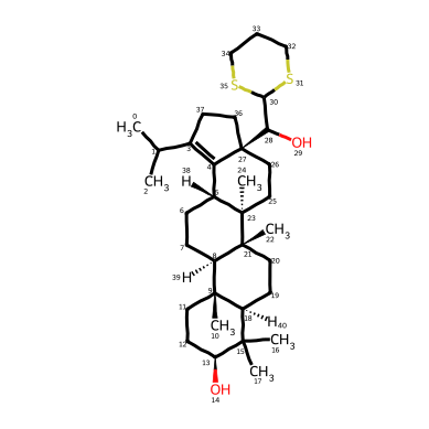 CC(C)C1=C2[C@H]3CC[C@@H]4[C@@]5(C)CC[C@H](O)C(C)(C)[C@@H]5CC[C@@]4(C)[C@]3(C)CC[C@@]2(C(O)C2SCCCS2)CC1